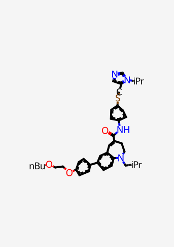 CCCCOCCOc1ccc(-c2ccc3c(c2)C=C(C(=O)Nc2ccc(SCc4cncn4C(C)C)cc2)CCN3CC(C)C)cc1